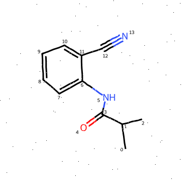 CC(C)C(=O)Nc1ccccc1C#N